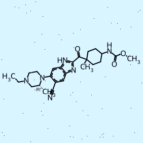 CCN1CCN(c2cc3[nH]c(C(=O)C4(C)CCC(NC(=O)OC)CC4)nc3cc2C#N)[C@H](C)C1